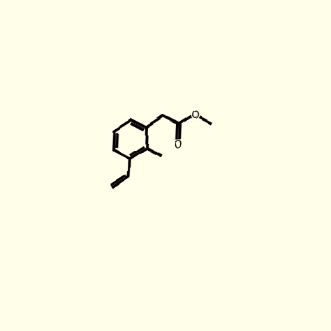 C=Cc1cccc(CC(=O)OC)c1C